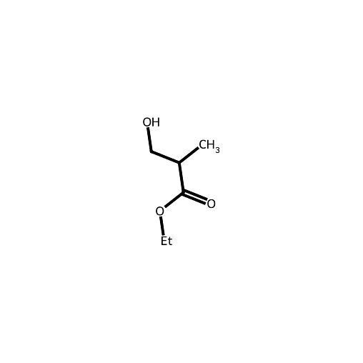 CCOC(=O)C(C)CO